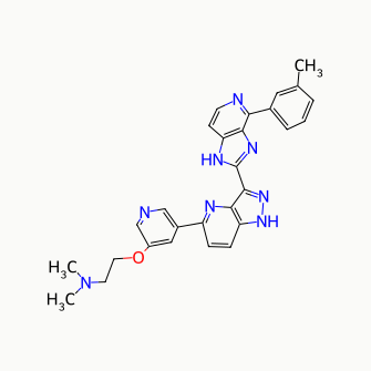 Cc1cccc(-c2nccc3[nH]c(-c4n[nH]c5ccc(-c6cncc(OCCN(C)C)c6)nc45)nc23)c1